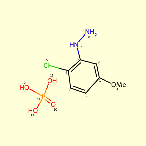 COc1ccc(Cl)c(NN)c1.O=P(O)(O)O